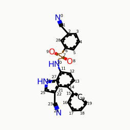 N#Cc1cccc(S(=O)(=O)Nc2ccc(-c3ccccc3)c3c(C#N)c[nH]c23)c1